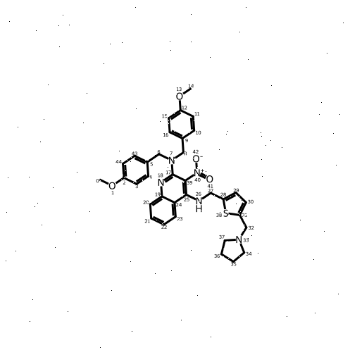 COc1ccc(CN(Cc2ccc(OC)cc2)c2nc3ccccc3c(NCc3ccc(CN4CCCC4)s3)c2[N+](=O)[O-])cc1